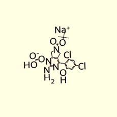 CC(C)(C)OC(=O)N1Cc2nc(N)nc(-c3c(O)cc(Cl)cc3Cl)c2C1.O=C([O-])O.[Na+]